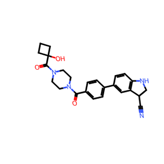 N#CC1CNc2ccc(-c3ccc(C(=O)N4CCN(C(=O)C5(O)CCC5)CC4)cc3)cc21